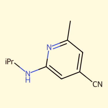 Cc1cc(C#N)cc(NC(C)C)n1